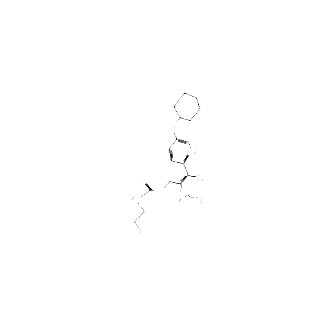 CC(C)CCN(C)C(=O)OC/C(=C(/N)c1ccc(OC2CCCCC2)cn1)N(C)N